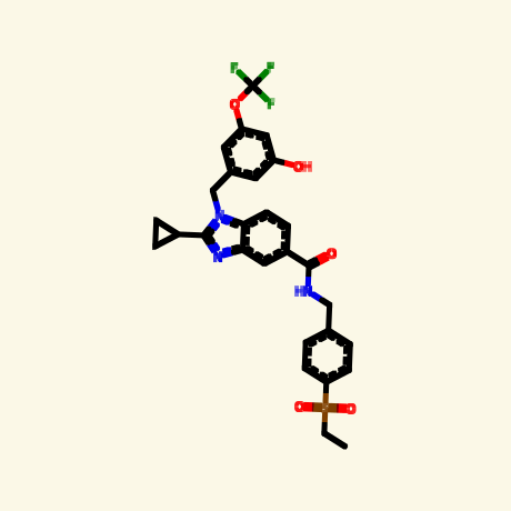 CCS(=O)(=O)c1ccc(CNC(=O)c2ccc3c(c2)nc(C2CC2)n3Cc2cc(O)cc(OC(F)(F)F)c2)cc1